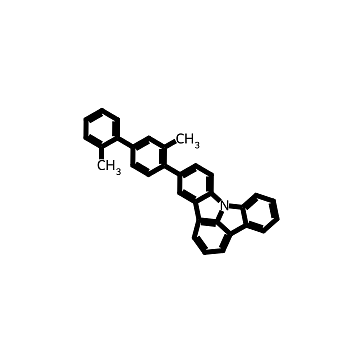 Cc1ccccc1-c1ccc(-c2ccc3c(c2)c2cccc4c5ccccc5n3c42)c(C)c1